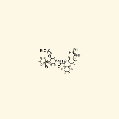 CCOC(=O)COc1cc(NC(=O)C(Oc2cccc(C(=N)NO)c2)c2ccccc2)ccc1N1CCCCC1=O